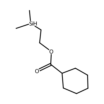 C[SiH](C)CCOC(=O)C1CCCCC1